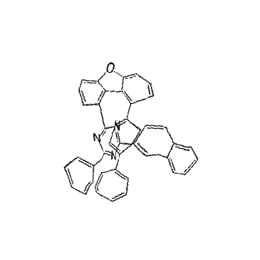 C1=C(c2ccccc2)CCC(c2cccc3oc4cccc(-c5nc(-c6ccccc6)nc(-c6ccc7ccccc7c6)n5)c4c23)=C1